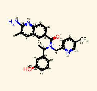 Cc1cc2cc(C(=O)N(Cc3ccc(C(F)(F)F)cn3)C(C)c3cccc(O)c3)ccc2nc1N